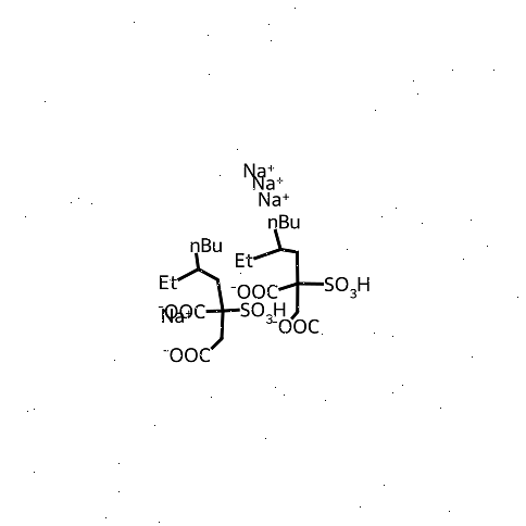 CCCCC(CC)CC(CC(=O)[O-])(C(=O)[O-])S(=O)(=O)O.CCCCC(CC)CC(CC(=O)[O-])(C(=O)[O-])S(=O)(=O)O.[Na+].[Na+].[Na+].[Na+]